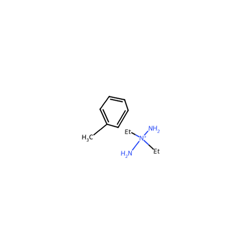 CC[N+](N)(N)CC.Cc1ccccc1